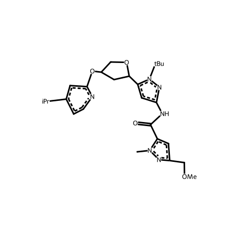 COCc1cc(C(=O)Nc2cc(C3CC(Oc4cc(C(C)C)ccn4)CO3)n(C(C)(C)C)n2)n(C)n1